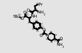 CC(C)CC(N)C(=O)NC(Cc1ccc(OC(=O)N2CCC(C(N)=O)CC2)cc1)C(=O)OC(C)(C)C